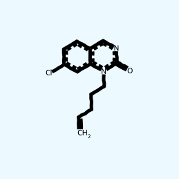 C=CCCCn1c(=O)ncc2ccc(Cl)cc21